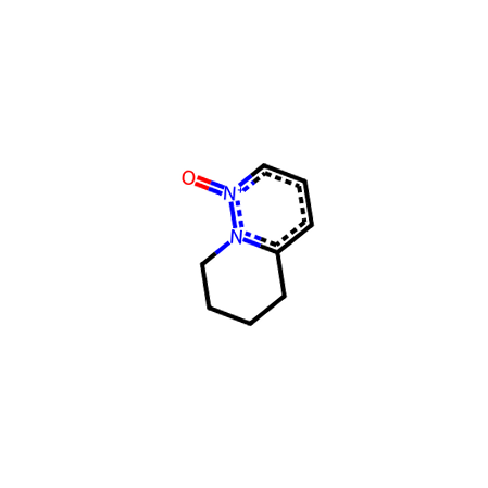 O=[n+]1cccc2n1CCCC2